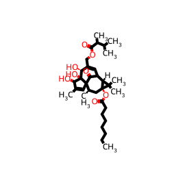 CCCCCCCC(=O)O[C@@]12C[C@@H](C)C34C=C(C)C(O)C3(O)[C@H](O)C(COC(=O)C(C)C(C)C)=CC(C4=O)[C@@H]1C2(C)C